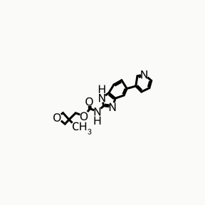 CC1(COC(=O)Nc2nc3cc(-c4cccnc4)ccc3[nH]2)COC1